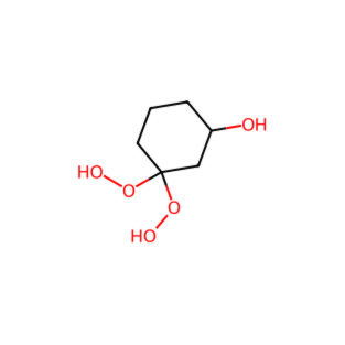 OOC1(OO)CCCC(O)C1